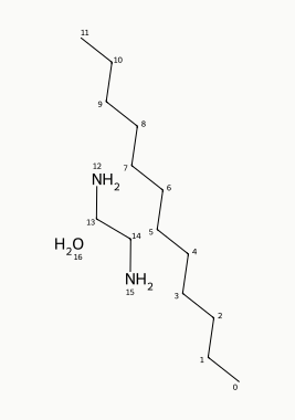 CCCCCCCCCCCC.NCCN.O